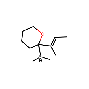 CC=C(C)C1([SiH](C)C)CCCCO1